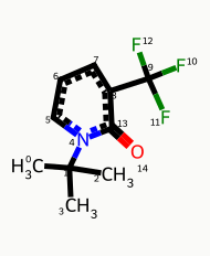 CC(C)(C)n1cccc(C(F)(F)F)c1=O